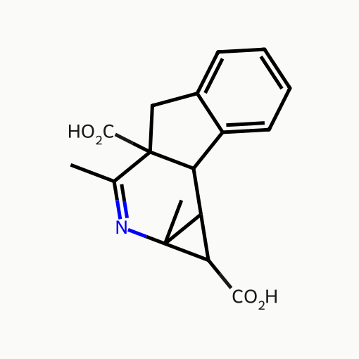 CC1=NC2(C)C(C(=O)O)C2C2c3ccccc3CC12C(=O)O